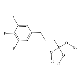 CCO[Si](CCCc1cc(F)c(F)c(F)c1)(OCC)OCC